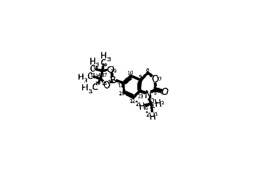 [2H]C([2H])([2H])N1C(=O)OCc2cc(B3OC(C)(C)C(C)(C)O3)ccc21